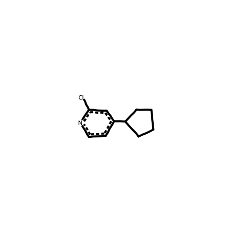 Clc1cc([C]2CCCC2)ccn1